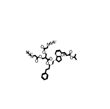 CC(C)OC(=O)CCC/C=C\C[C@@H]1[C@@H](CC[C@H](CCc2ccccc2)OC(=O)C(COC(=O)CN=[N+]=[N-])COC(=O)CN=[N+]=[N-])CC[C@@H]1O